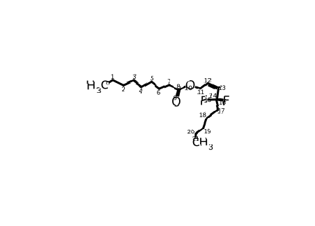 CCCCCCCCC(=O)OC/C=C\C(F)(F)CCCCC